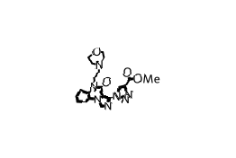 COC(=O)c1cn(-c2ncn3c2c(=O)n(CCN2CCOCC2)c2ccccc23)nn1